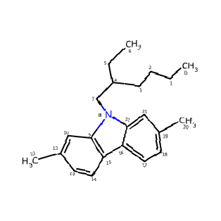 CCCCC(CC)Cn1c2cc(C)ccc2c2ccc(C)cc21